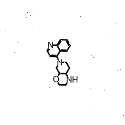 c1ccc2c(N3CCC4NCCOC4C3)ccnc2c1